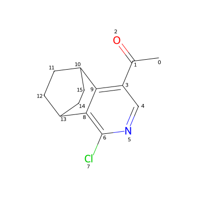 CC(=O)c1cnc(Cl)c2c1C1CCC2CC1